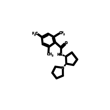 Cc1cc(C(F)(F)F)cc(C(F)(F)F)c1C(=O)N[C@@H]1CCC[C@@H]1N1CCCC1